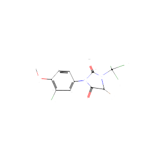 O=C1C(S)N(C(F)(Cl)Cl)C(=O)N1c1ccc(OC(F)(F)F)c(Cl)c1